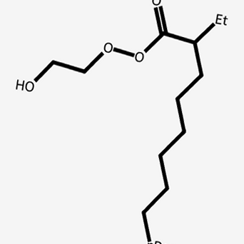 CCCCCCCCCCCCCCCCC(CC)C(=O)OOCCO